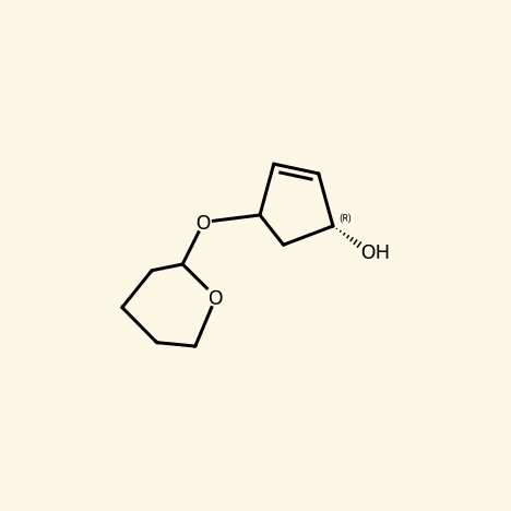 O[C@H]1C=CC(OC2CCCCO2)C1